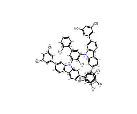 N#Cc1cc(C#N)cc(-c2ccc3c4ccc(-c5cc(C#N)cc(C#N)c5)cc4n(-c4cc(-c5ccccc5C#N)cc(-n5c6cc(-c7cc(C#N)cc(C#N)c7)ccc6c6ccc(-c7cc(C#N)cc(C#N)c7)cc65)c4C#N)c3c2)c1